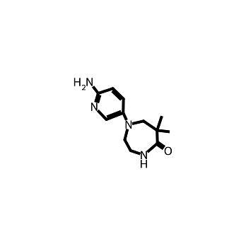 CC1(C)CN(c2ccc(N)nc2)CCNC1=O